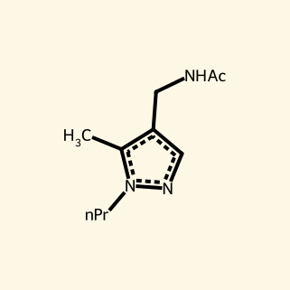 CCCn1ncc(CNC(C)=O)c1C